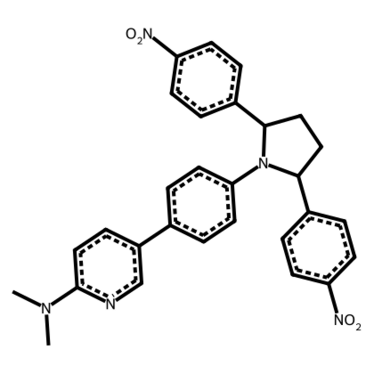 CN(C)c1ccc(-c2ccc(N3C(c4ccc([N+](=O)[O-])cc4)CCC3c3ccc([N+](=O)[O-])cc3)cc2)cn1